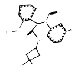 CSc1ccccc1C(C(=O)NC1CC(F)(F)C1)N(C=O)c1cccc(F)c1